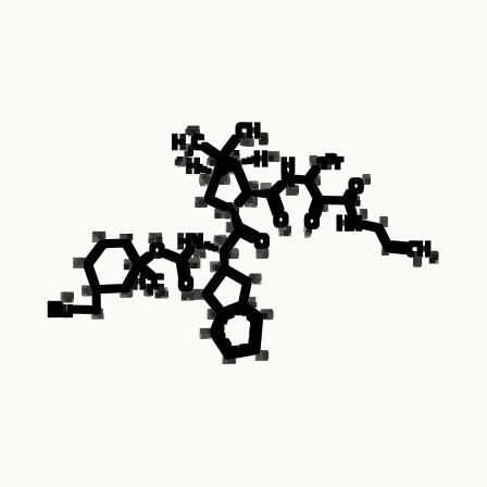 C=CCNC(=O)C(=O)C(CCC)NC(=O)[C@@H]1[C@H]2[C@@H](CN1C(=O)[C@@H](NC(=O)OC1(C)CCCC(CC(C)CC)C1)C1Cc3ccccc3C1)C2(C)C